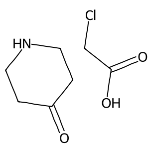 O=C(O)CCl.O=C1CCNCC1